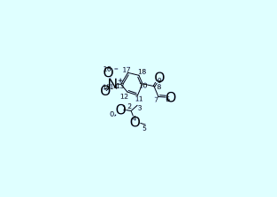 COC(C)OC.O=CC(=O)c1ccc([N+](=O)[O-])cc1